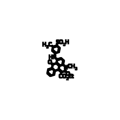 CCOC(=O)c1c2c3c(c(Nc4ccc(S(=O)(=O)O)c(C)c4)ccc3n(C)c1=O)C(=O)c1ccccc1-2